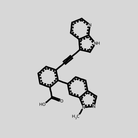 Cn1ncc2ccc(-c3c(C#Cc4c[nH]c5ncccc45)cccc3C(=O)O)cc21